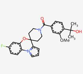 COc1cc(C(=O)N2CCC3(CC2)Oc2cc(F)ccc2-n2cccc23)ccc1C(C)(C)O